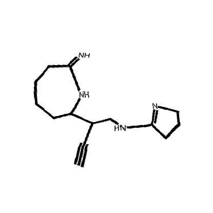 C#CC(CNC1=NCCC1)C1CCCCC(=N)N1